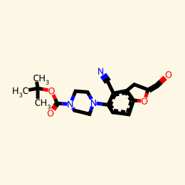 CC(C)(C)OC(=O)N1CCN(c2ccc3c(c2C#N)CC(=C=O)O3)CC1